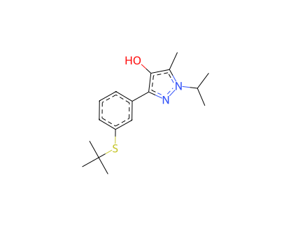 Cc1c(O)c(-c2cccc(SC(C)(C)C)c2)nn1C(C)C